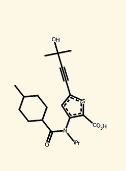 CC1CCC(C(=O)N(c2cc(C#CC(C)(C)O)sc2C(=O)O)C(C)C)CC1